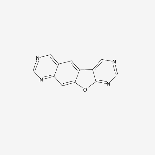 c1ncc2cc3c(cc2n1)oc1ncncc13